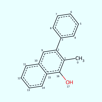 Cc1c(-c2ccccc2)cc2ccccc2c1O